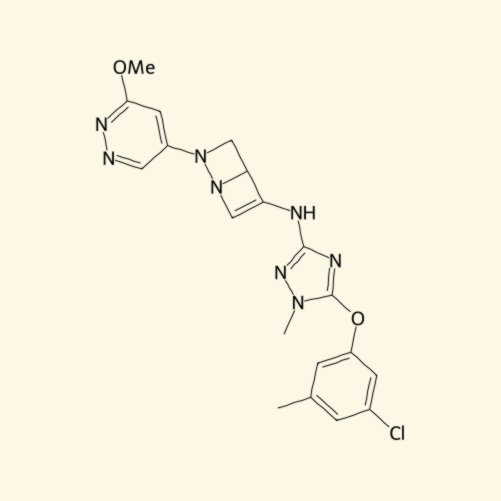 COc1cc(N2CC3C(Nc4nc(Oc5cc(C)cc(Cl)c5)n(C)n4)=CN32)cnn1